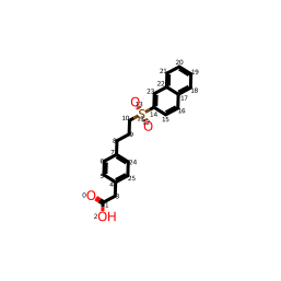 O=C(O)Cc1ccc(CCCS(=O)(=O)c2ccc3ccccc3c2)cc1